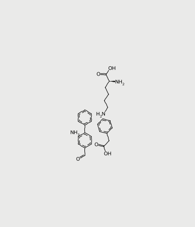 N.NCCCC[C@H](N)C(=O)O.O=C(O)Cc1ccccc1.O=Cc1ccc(-c2ccccc2)cc1